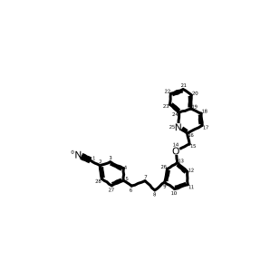 N#Cc1ccc(CCCc2cccc(OCc3ccc4ccccc4n3)c2)cc1